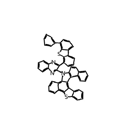 c1ccc(-c2cccc3c2sc2c(-c4nc5ccccc5nc4-n4c5ccc6ccccc6c5c5c6c7ccccc7sc6c6ccccc6c54)cccc23)cc1